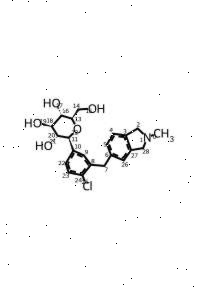 CN1Cc2ccc(Cc3cc([C@@H]4O[C@H](CO)[C@@H](O)[C@H](O)[C@H]4O)ccc3Cl)cc2C1